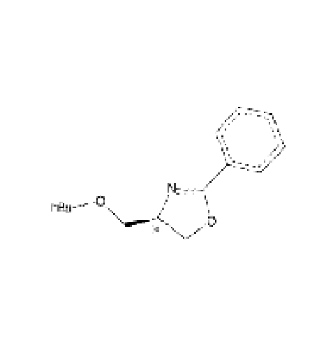 CCCCOC[C@@H]1COC(c2ccccc2)=N1